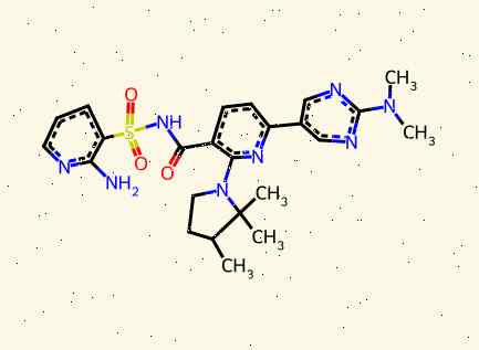 CC1CCN(c2nc(-c3cnc(N(C)C)nc3)ccc2C(=O)NS(=O)(=O)c2cccnc2N)C1(C)C